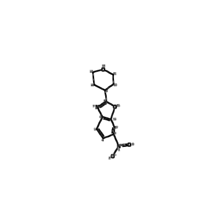 O=[N+]([O-])c1ccc2nc(C3CCOCC3)oc2c1